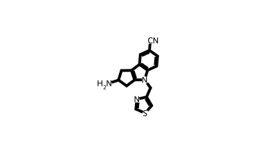 N#Cc1ccc2c(c1)c1c(n2Cc2cscn2)CC(N)C1